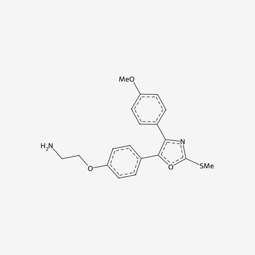 COc1ccc(-c2nc(SC)oc2-c2ccc(OCCN)cc2)cc1